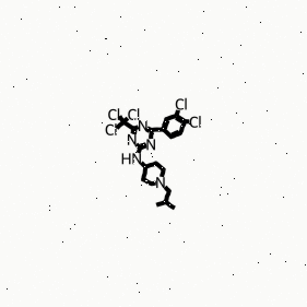 CC(C)CN1CCC(Nc2nc(-c3ccc(Cl)c(Cl)c3)nc(C(Cl)(Cl)Cl)n2)CC1